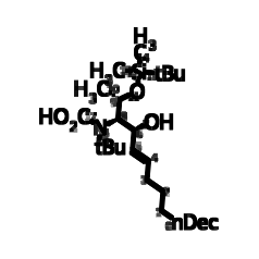 CCCCCCCCCCCCCC=C[C@H](O)[C@H]([C@H](C)O[Si](C)(C)C(C)(C)C)N(C(=O)O)C(C)(C)C